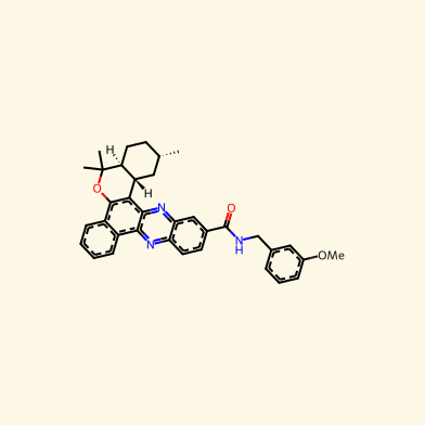 COc1cccc(CNC(=O)c2ccc3nc4c(nc3c2)c2c(c3ccccc34)OC(C)(C)[C@H]3CC[C@H](C)C[C@H]23)c1